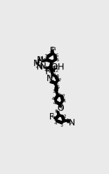 N#Cc1ccc(F)c(COc2ccc(C#Cc3ccc(C(F)(F)C4(O)Cn5nnnc5-c5cc(F)ccc54)nc3)cc2)c1